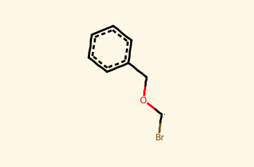 Br[CH]OCc1ccccc1